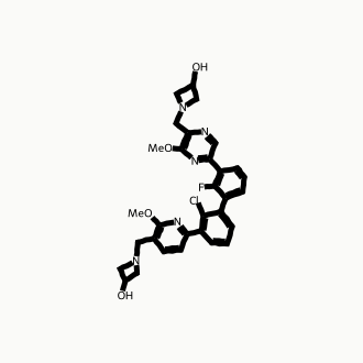 COc1nc(-c2cccc(-c3cccc(-c4cnc(CN5CC(O)C5)c(OC)n4)c3F)c2Cl)ccc1CN1CC(O)C1